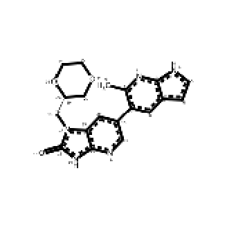 Cc1nc2[nH]ccc2cc1-c1cnc2[nH]c(=O)n(C[C@H]3COCCO3)c2c1